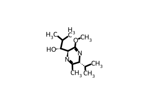 COC1=N[C@H](C(C)C)C(C)=N[C@H]1[C@H](O)C(C)C